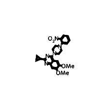 COc1cc2nc(C3CC3)nc(N3CCN(c4ccccc4[N+](=O)[O-])CC3)c2cc1OC